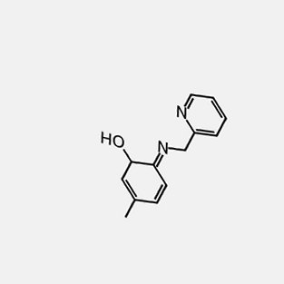 CC1=CC(O)/C(=N/Cc2ccccn2)C=C1